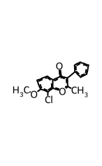 COc1ccc2c(=O)c(-c3ccccc3)c(C)oc2c1Cl